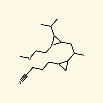 COCCN1C(CC(C)C2CN2CCCC#N)C1C(C)C